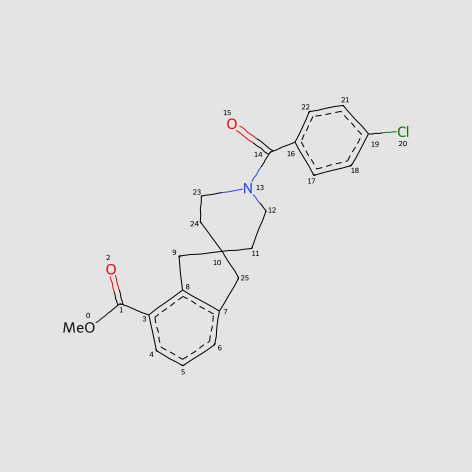 COC(=O)c1cccc2c1CC1(CCN(C(=O)c3ccc(Cl)cc3)CC1)C2